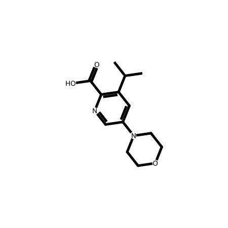 CC(C)c1cc(N2CCOCC2)cnc1C(=O)O